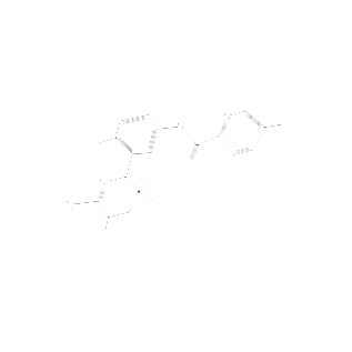 NC1=NC(c2cc(NC(=O)c3ccc(C(F)(F)F)cn3)ccc2F)C(F)(F)CC1F